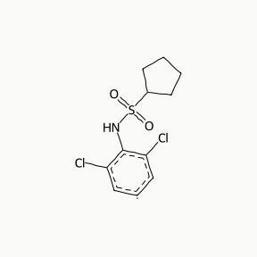 O=S(=O)(Nc1c(Cl)c[c]cc1Cl)C1CCCC1